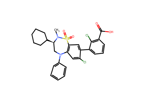 CN1[C@H](C2CCCCC2)CN(c2ccccc2)c2cc(Cl)c(-c3cccc(C(=O)O)c3Cl)cc2S1(=O)=O